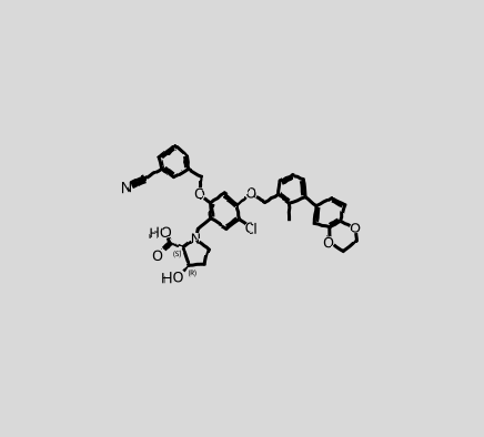 Cc1c(COc2cc(OCc3cccc(C#N)c3)c(CN3CC[C@@H](O)[C@H]3C(=O)O)cc2Cl)cccc1-c1ccc2c(c1)OCCO2